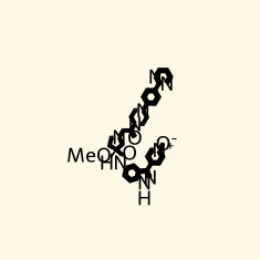 COC[C@@]1(C(=O)Nc2ccc3[nH]nc(-c4cc[n+]([O-])cc4)c3c2)CCN(CC(=O)N2CCN(c3ccc(-c4ncccn4)cc3)CC2)C1